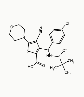 CC(C)(C)[S+]([O-])NC(c1ccc(Cl)cc1)c1c(C(=O)O)sc(N2CCOCC2)c1C#N